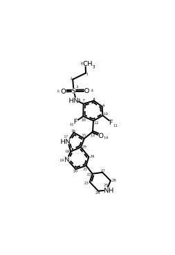 CCCS(=O)(=O)Nc1ccc(F)c(C(=O)c2c[nH]c3ncc(C4=CCNCC4)cc23)c1F